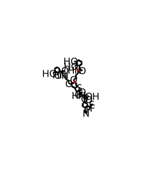 N#Cc1ccc(OP(=O)(O)CNS(=O)(=O)C2Cc3cc(OCCCNC(=O)c4cccc(O)c4O)c(OCCCNC(=O)c4cccc(O)c4O)cc3S2)cc1C(F)(F)F